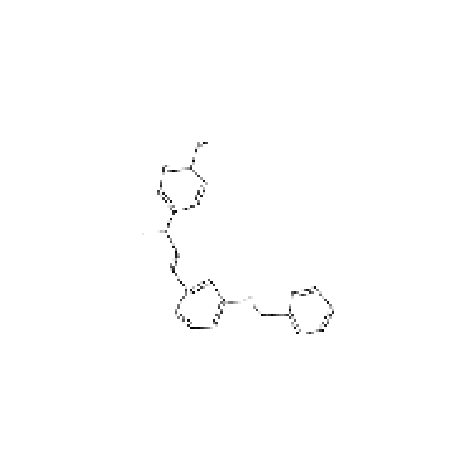 CC(C)c1ccc(C(C)N=Cc2cccc(OCc3ccccc3)c2)cc1